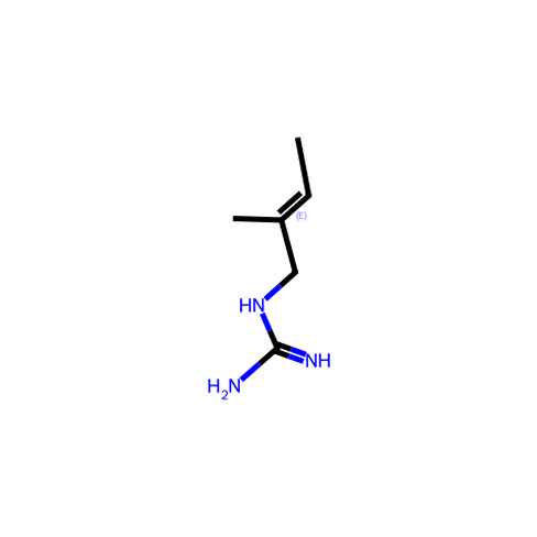 C/C=C(\C)CNC(=N)N